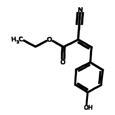 CCOC(=O)/C(C#N)=C\c1ccc(O)cc1